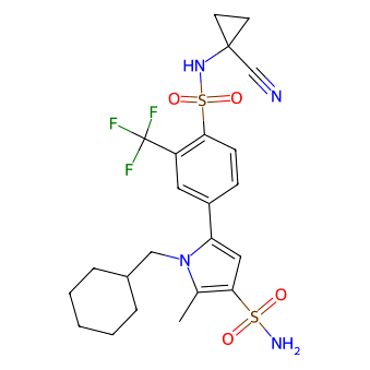 Cc1c(S(N)(=O)=O)cc(-c2ccc(S(=O)(=O)NC3(C#N)CC3)c(C(F)(F)F)c2)n1CC1CCCCC1